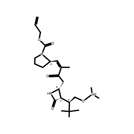 C=CCOC(=O)N1CCC[C@@H]1C=C(C)C(=O)C[C@H]1NC(=O)[C@H]1[C@@H](CO[SiH](C)C)C(C)(C)C